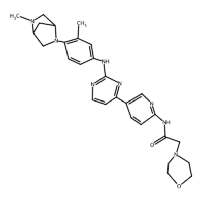 Cc1cc(Nc2nccc(-c3ccc(NC(=O)CN4CCOCC4)nc3)n2)ccc1N1CC2CC1CN2C